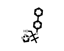 CC(C)(C)C(CO)(Oc1ccc(-c2ccccc2)cc1)n1ccnn1